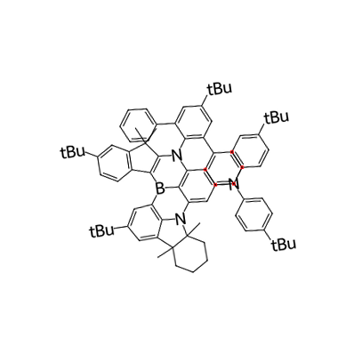 CC(C)(C)c1ccc(N(c2ccc(C(C)(C)C)cc2)c2cc3c4c(c2)N2c5c(cc(C(C)(C)C)cc5C5(C)CCCCC25C)B4C2=C(N3c3c(-c4ccccc4)cc(C(C)(C)C)cc3-c3ccccc3)C(C)(C)c3cc(C(C)(C)C)ccc32)cc1